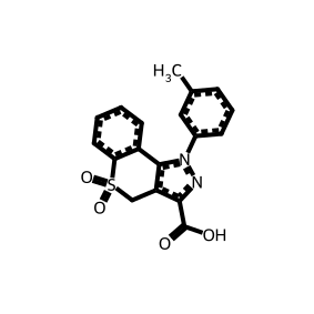 Cc1cccc(-n2nc(C(=O)O)c3c2-c2ccccc2S(=O)(=O)C3)c1